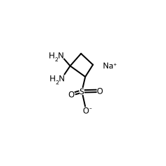 NC1(N)CCC1S(=O)(=O)[O-].[Na+]